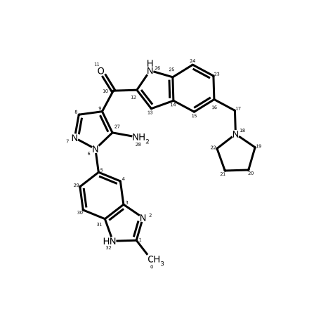 Cc1nc2cc(-n3ncc(C(=O)c4cc5cc(CN6CCCC6)ccc5[nH]4)c3N)ccc2[nH]1